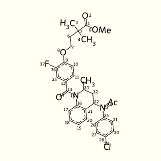 COC(=O)C(C)(C)CCOc1ccc(C(=O)N2c3ccccc3C(N(C(C)=O)c3ccc(Cl)cc3)CC2C)cc1F